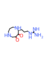 N=C(N)NCCC[C@@H]1NCCCNCC(=O)C1=O